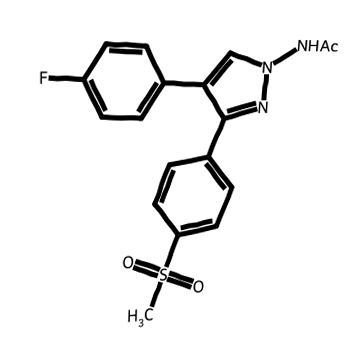 CC(=O)Nn1cc(-c2ccc(F)cc2)c(-c2ccc(S(C)(=O)=O)cc2)n1